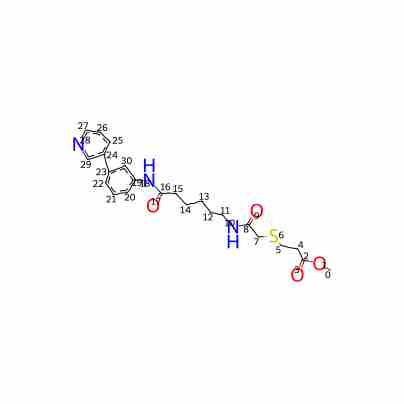 COC(=O)CCSCC(=O)NCCCCCC(=O)Nc1cccc(-c2cccnc2)c1